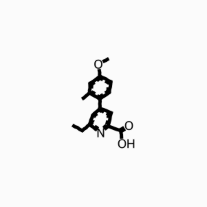 CCc1cc(-c2ccc(OC)cc2C)cc(C(=O)O)n1